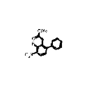 COC(=O)Cc1c(-c2ccccc2)ccc([N+](=O)[O-])c1F